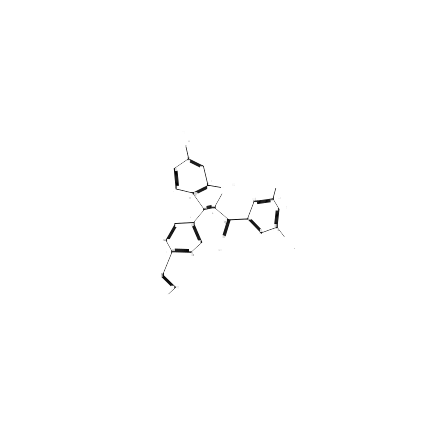 O=C(O)/C=C/c1ccc(-c2c(C(=O)c3cc(F)cc(F)c3)sc3cc(O)ccc23)cc1